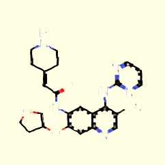 N#Cc1cnc2cc(OC3CCOC3)c(NC(=O)C=C3CCNCC3)cc2c1Nc1nc[c]cn1